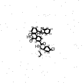 CCC[C@H](NC(=O)c1ccc(-c2c(Cl)cccc2-c2nc3ccccc3[nH]2)c(C(=O)O)c1)c1ccc(Cl)cc1